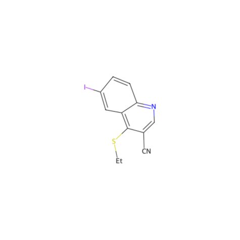 CCSc1c(C#N)cnc2ccc(I)cc12